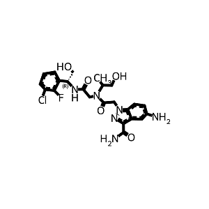 CC(CO)N(CC(=O)N[C@@H](CO)c1cccc(Cl)c1F)C(=O)Cn1nc(C(N)=O)c2cc(N)ccc21